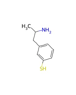 CC(N)Cc1cccc(S)c1